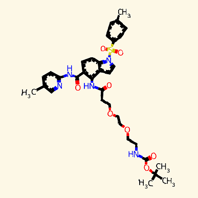 Cc1ccc(S(=O)(=O)n2ccc3c(NC(=O)CCOCCOCCNC(=O)OC(C)(C)C)c(C(=O)Nc4ccc(C)cn4)ccc32)cc1